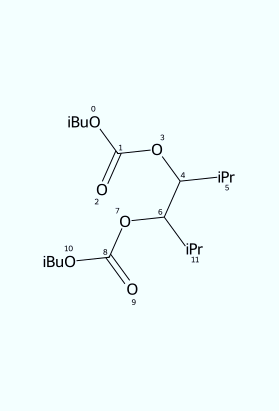 CC(C)COC(=O)OC(C(C)C)C(OC(=O)OCC(C)C)C(C)C